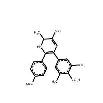 CCCCC1=NC(c2cc(C)c(C(=O)O)c(C)c2)=C(c2ccc(OC)cc2)NC1C